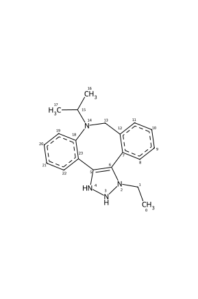 CCN1NNC2=C1c1ccccc1CN(C(C)C)c1ccccc12